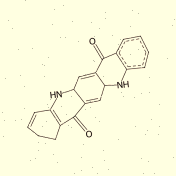 O=C1C2=CC3Nc4ccccc4C(=O)C3=CC2NC2=C1CCC=C2